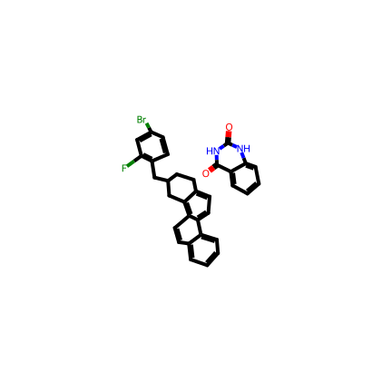 Fc1cc(Br)ccc1CC1CCc2ccc3c(ccc4ccccc43)c2C1.O=c1[nH]c(=O)c2ccccc2[nH]1